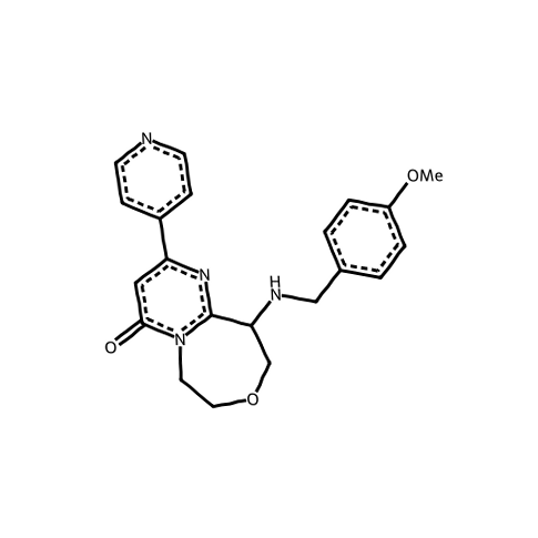 COc1ccc(CNC2COCCn3c2nc(-c2ccncc2)cc3=O)cc1